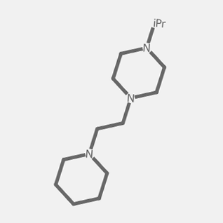 CC(C)N1CCN(CCN2CCCCC2)CC1